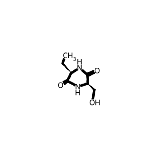 CC[C@H]1NC(=O)[C@@H](CO)NC1=O